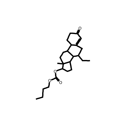 CCCCOC(=O)OC1CCC2C3C(CC)CC4=CC(=O)CCC4C3CCC12C